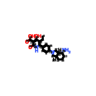 CCc1c(-c2ccc(N3C[C@H]4CCC[C@H](N)[C@H]4C3)cc2)[nH]c(=O)c(C(=O)O)c1O